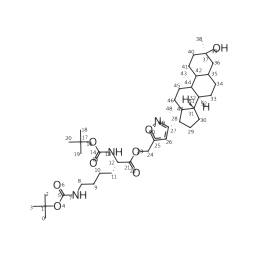 CC(C)(C)OC(=O)NCCCC[C@H](NC(=O)OC(C)(C)C)C(=O)OCc1cc([C@H]2CC[C@H]3[C@@H]4CCC5C[C@](C)(O)CC[C@]5(C)C4CC[C@]23C)no1